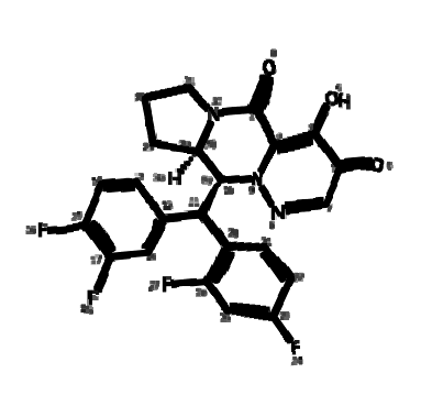 O=C1c2c(O)c(=O)cnn2[C@@H](C(c2ccc(F)c(F)c2)c2ccc(F)cc2F)[C@H]2CCCN12